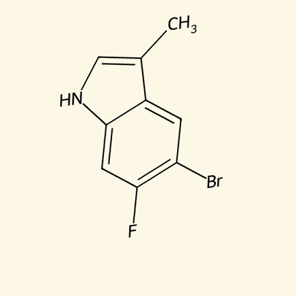 Cc1c[nH]c2cc(F)c(Br)cc12